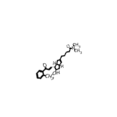 Cc1ccccc1C(=O)/C=C/[C@@H]1[C@H]2CC(CCCCC(=O)N(C)C)=C[C@H]2C[C@H]1O